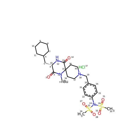 CCCCN1C(=O)[C@H](CC2CCCCC2)NC(=O)C12CCN(Cc1ccc(N(S(C)(=O)=O)S(C)(=O)=O)cc1)CC2.Cl